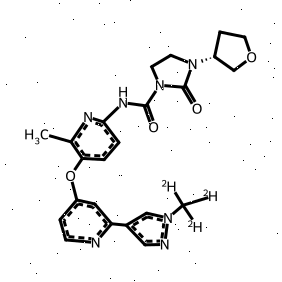 [2H]C([2H])([2H])n1cc(-c2cc(Oc3ccc(NC(=O)N4CCN([C@@H]5CCOC5)C4=O)nc3C)ccn2)cn1